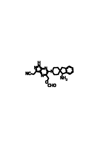 N#CCc1n[nH]c2nc(N3CCC4(CC3)Cc3ccccc3[C@H]4N)c(COC=O)nc12